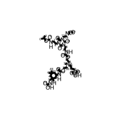 CC(C)OC(=O)NCCn1c(=O)n(CCN=C=O)c(=O)n(CCNC(=O)OCC[N+](C)(CCCS(=O)(=O)O)CCOC(=O)NC2CC(C)(C)CC(C)(CNC(=O)O)C2)c1=O